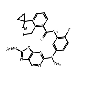 CC(=O)Nc1nc2cnc(N(C)c3ccc(F)c(NC(=O)c4cccc(C5(C#N)CC5)c4CI)c3)nc2s1